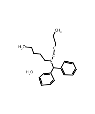 CCCCCN(CCCCC)C(c1ccccc1)c1ccccc1.O